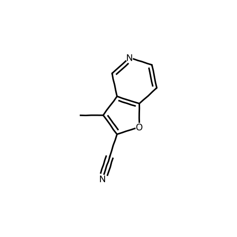 Cc1c(C#N)oc2ccncc12